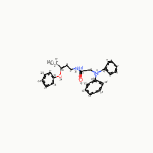 O=C(CN(c1ccccc1)c1ccccc1)NCCC(Oc1ccccc1)C(=O)O